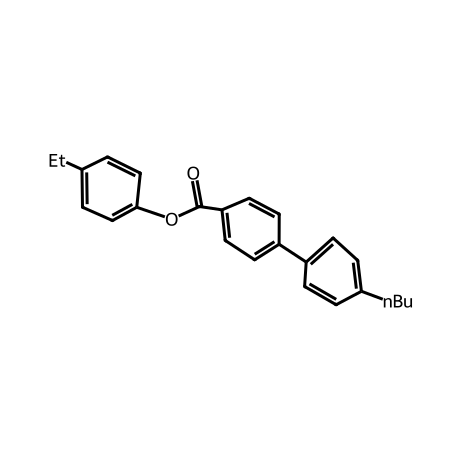 CCCCc1ccc(-c2ccc(C(=O)Oc3ccc(CC)cc3)cc2)cc1